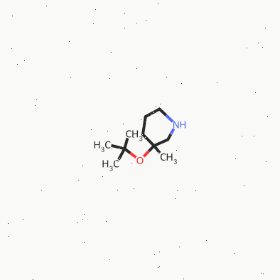 CC(C)(C)OC1(C)CCCNC1